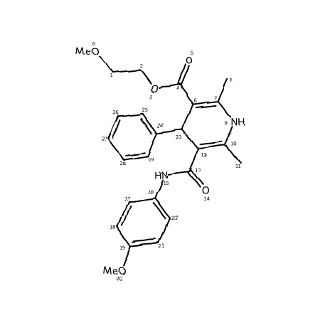 COCCOC(=O)C1=C(C)NC(C)=C(C(=O)Nc2ccc(OC)cc2)C1c1ccccc1